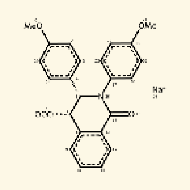 COc1ccc([C@H]2[C@@H](C(=O)[O-])c3ccccc3C(=O)N2c2ccc(OC)cc2)cc1.[Na+]